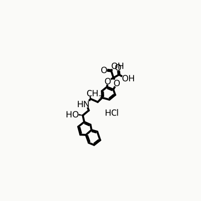 C[C@@H](Cc1ccc2c(c1)OC(C(=O)O)(C(=O)O)O2)NC[C@H](O)c1ccc2ccccc2c1.Cl